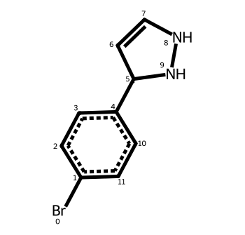 Brc1ccc([C]2C=CNN2)cc1